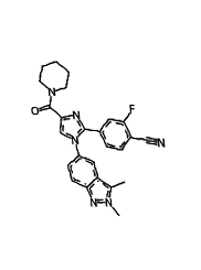 Cc1c2cc(-n3cc(C(=O)N4CCCCC4)nc3-c3ccc(C#N)c(F)c3)ccc2nn1C